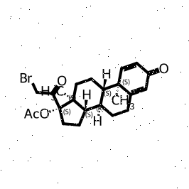 CC(=O)O[C@@]1(C(=O)CBr)CC[C@H]2[C@@H]3CCC4=CC(=O)C=C[C@]4(C)[C@H]3CC[C@@]21C